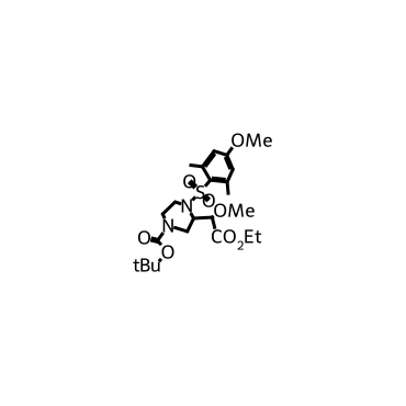 CCOC(=O)C(OC)C1CN(C(=O)OC(C)(C)C)CCN1S(=O)(=O)c1c(C)cc(OC)cc1C